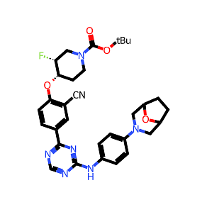 CC(C)(C)OC(=O)N1CC[C@H](Oc2ccc(-c3ncnc(Nc4ccc(N5CC6CCC(C5)O6)cc4)n3)cc2C#N)[C@H](F)C1